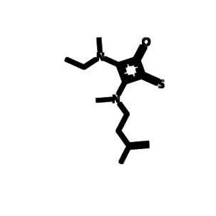 C=C(C)CCN(C)c1c(N(C)CC)c(=O)c1=S